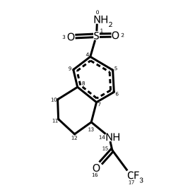 NS(=O)(=O)c1ccc2c(c1)CCCC2NC(=O)C(F)(F)F